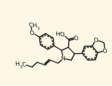 CCCC=CCN1CC(c2ccc3c(c2)OCO3)C(C(=O)O)C1c1ccc(OC)cc1